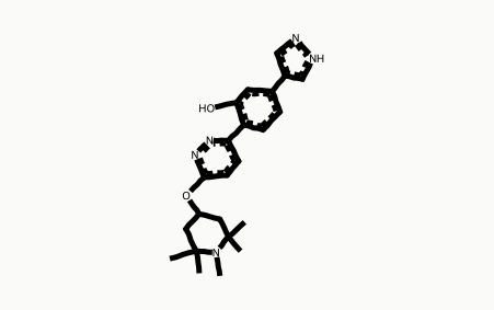 CN1C(C)(C)CC(Oc2ccc(-c3ccc(-c4cn[nH]c4)cc3O)nn2)CC1(C)C